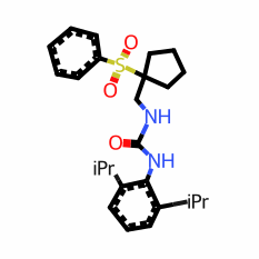 CC(C)c1cccc(C(C)C)c1NC(=O)NCC1(S(=O)(=O)c2ccccc2)CCCC1